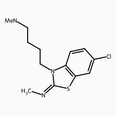 CN=c1sc2cc(Cl)ccc2n1CCCCNC